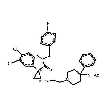 CC(=O)NC1(c2ccccc2)CCN(CCC[C@@H]2C[C@@]2(C(=O)N(C)Cc2ccc(F)cc2)c2ccc(Cl)c(Cl)c2)CC1